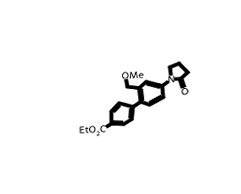 CCOC(=O)c1ccc(-c2ccc(N3CCCC3=O)cc2COC)cc1